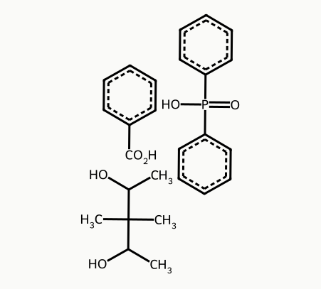 CC(O)C(C)(C)C(C)O.O=C(O)c1ccccc1.O=P(O)(c1ccccc1)c1ccccc1